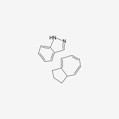 C1=CC=C2CCCC2C=C1.c1ccc2[nH]ncc2c1